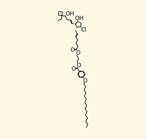 CCCCCCCCCCCCCCCOc1ccc(C(=O)OCCCOC(=O)CCCC=CC[C@@H]2[C@@H](C=CC[C@H](O)C3(CC)CCC3)[C@H](O)C[C@H]2Cl)cc1